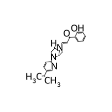 CC(C)c1ccc(N2C[C@H]3CC2CN3/C=C/C(=O)c2ccccc2O)nc1